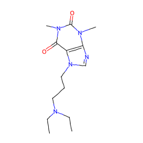 CCN(CC)CCCn1cnc2c1c(=O)n(C)c(=O)n2C